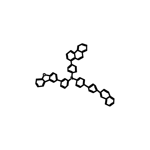 c1cc(-c2ccc3oc4ccccc4c3c2)cc(N(c2ccc(-c3ccc(-c4ccc5ccccc5c4)cc3)cc2)c2ccc(-c3cccc4c3ccc3ccccc34)cc2)c1